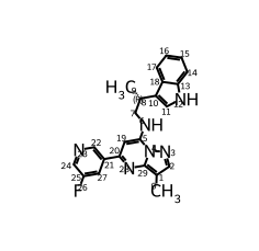 Cc1cnn2c(NC[C@H](C)c3c[nH]c4ccccc34)cc(-c3cncc(F)c3)nc12